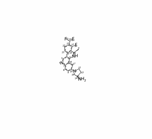 C[C@@H](Nc1ccnc2ccc(N3CC[C@@H](N)C3)cc12)c1cccc(C(F)F)c1F